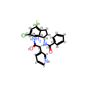 NC(=O)[C@@H](c1cccnc1)N(C(=O)c1ccccc1)[C@@H]1CCc2c(F)cc(Cl)cc21